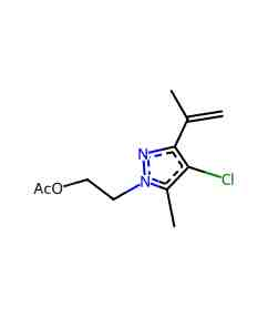 C=C(C)c1nn(CCOC(C)=O)c(C)c1Cl